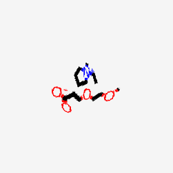 CC[N+]1(C)CCCC1.COCCOCCC(=O)[O-]